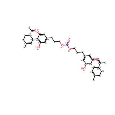 C=C(C)[C@H]1CCC(C)=C[C@@H]1c1c(O)cc(CCCO[N+](=O)OCCCc2cc(O)c([C@H]3C=C(C)CC[C@@H]3C(=C)C)c(O)c2)cc1O